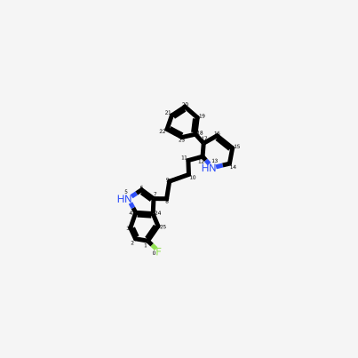 Fc1ccc2[nH]cc(CCCCC3NCC=CC3c3ccccc3)c2c1